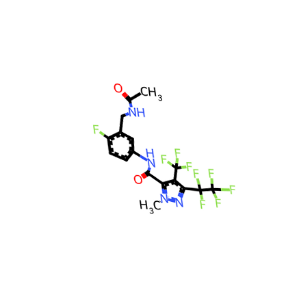 CC(=O)NCc1cc(NC(=O)c2c(C(F)(F)F)c(C(F)(F)C(F)(F)F)nn2C)ccc1F